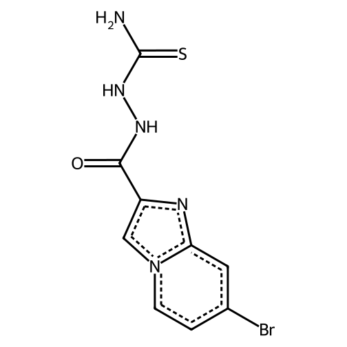 NC(=S)NNC(=O)c1cn2ccc(Br)cc2n1